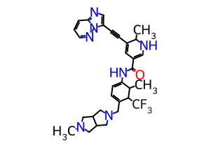 CC1NC=C(C(=O)NC2=CC=C(CN3CC4CN(C)CC4C3)C(C(F)(F)F)C2C)C=C1C#Cc1cnc2cccnn12